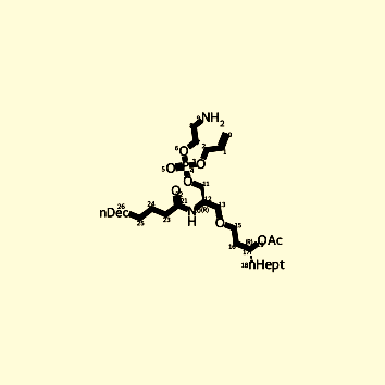 C=CCOP(=O)(OCCN)OC[C@@H](COCC[C@@H](CCCCCCC)OC(C)=O)NC(=O)CCCCCCCCCCCCC